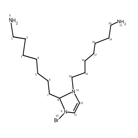 NCCCCCCCC1N(Br)C=CN1CCCCCCCN